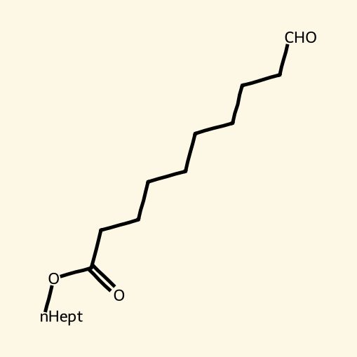 CCCCCCCOC(=O)CCCCCCCCC=O